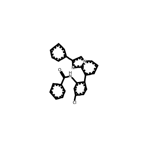 O=C(Nc1cc(Cl)ccc1-c1cccn2cc(-c3ccccc3)nc12)c1ccccc1